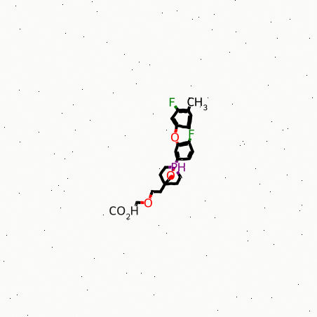 Cc1ccc(Oc2cc([PH]34CCC(CCOCC(=O)O)(CC3)CO4)ccc2F)cc1F